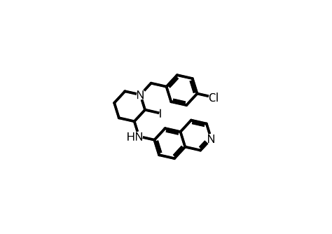 Clc1ccc(CN2CCCC(Nc3ccc4cnccc4c3)C2I)cc1